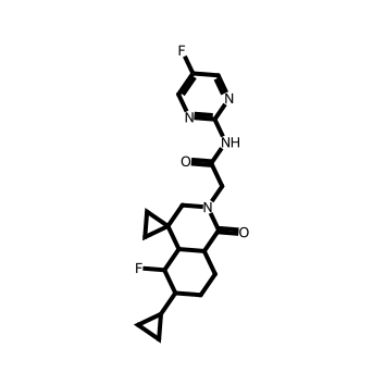 O=C(CN1CC2(CC2)C2C(CCC(C3CC3)C2F)C1=O)Nc1ncc(F)cn1